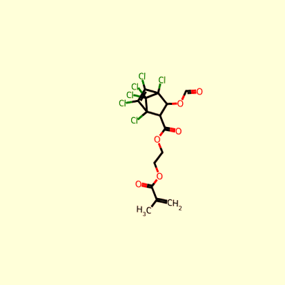 C=C(C)C(=O)OCCOC(=O)C1C(OC=O)C2(Cl)C(Cl)=C(Cl)C1(Cl)C2(Cl)Cl